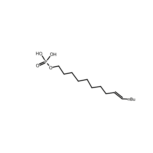 CCCCC=CCCCCCCCCOP(=O)(O)O